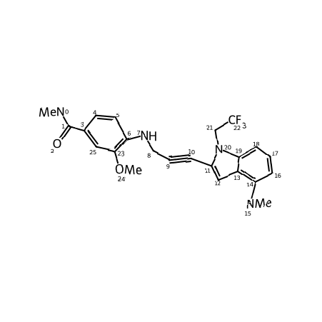 CNC(=O)c1ccc(NCC#Cc2cc3c(NC)cccc3n2CC(F)(F)F)c(OC)c1